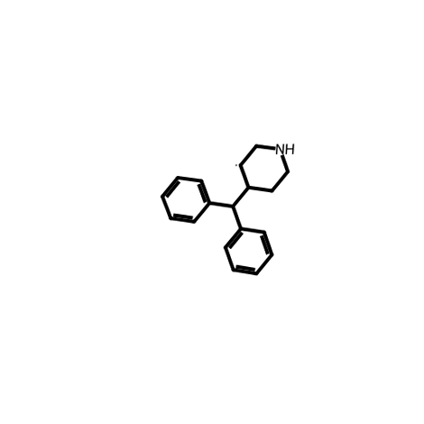 [CH]1CNCCC1C(c1ccccc1)c1ccccc1